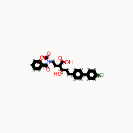 O=C(O)C(CCn1c(=O)oc2ccccc2c1=O)C(O)CCc1ccc(-c2ccc(Cl)cc2)cc1